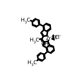 CCC1=Cc2c(-c3ccc(C)cc3)cccc2[CH]1[Zr+2]1([CH]2C(CC)=Cc3c(-c4ccc(C)cc4)cccc32)[CH2][CH2]1.[Cl-].[Cl-]